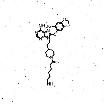 NCCCCCC(=O)N1CCC(CCn2c(Sc3cc4c(cc3Br)OCO4)nc3c(N)ncnc32)CC1